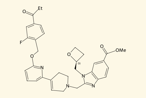 CCC(=O)c1ccc(COc2cccc(C3=CCN(Cc4nc5ccc(C(=O)OC)cc5n4C[C@@H]4CCO4)CC3)n2)c(F)c1